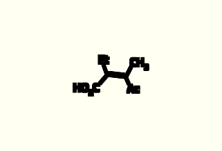 CCC(C(=O)O)=C(C)C(C)=O